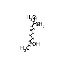 C=C=C(O)CCCCCCCC(=C)CCC